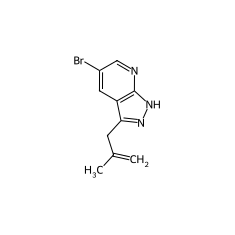 C=C(C)Cc1n[nH]c2ncc(Br)cc12